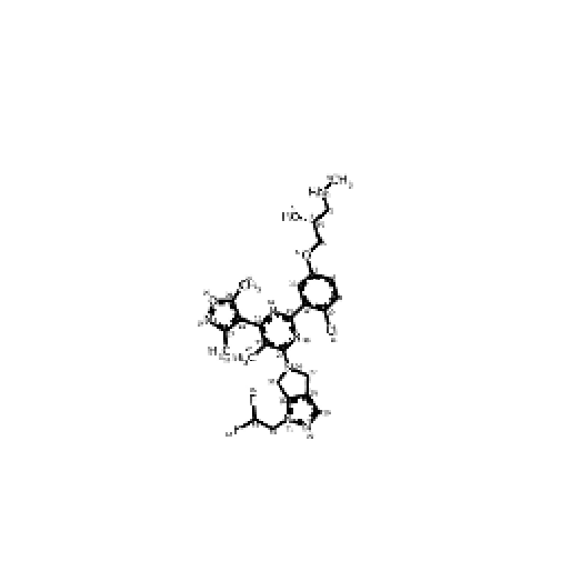 CNC[C@@H](O)COc1ccc(Cl)c(-c2nc(-c3c(C)noc3C)c(C)c(N3Cc4cnn(CC(F)F)c4C3)n2)c1